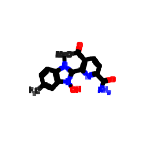 COC(=O)c1ccc(C(N)=O)nc1C1N(C)c2ccc(C(F)(F)F)cc2N1O